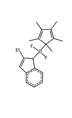 CCC1=Cc2ccccc2[CH]1[Zr]([F])([F])[C]1(C)C(C)=C(C)C(C)=C1C